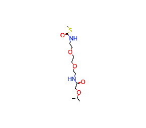 CSC(=O)NCCOCCOCCNC(=O)COC(C)C